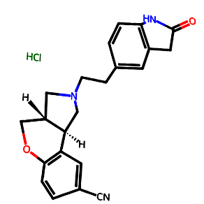 Cl.N#Cc1ccc2c(c1)[C@@H]1CN(CCc3ccc4c(c3)CC(=O)N4)C[C@H]1CO2